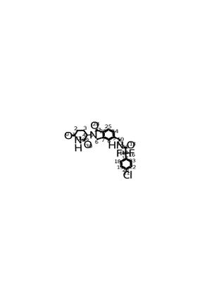 O=C1CC[C@@H](N2Cc3cc(CNC(=O)C(F)(F)c4ccc(Cl)cc4)ccc3C2=O)C(=O)N1